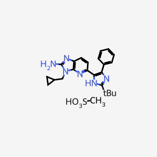 CC(C)(C)c1nc(-c2ccccc2)c(-c2ccc3nc(N)n(CC4CC4)c3n2)[nH]1.CS(=O)(=O)O